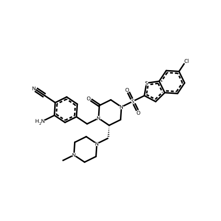 CN1CCN(C[C@H]2CN(S(=O)(=O)c3cc4ccc(Cl)cc4s3)CC(=O)N2Cc2ccc(C#N)c(N)c2)CC1